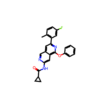 Cc1ccc(F)cc1-c1cc2cnc(NC(=O)C3CC3)cc2c(Oc2ccccc2)n1